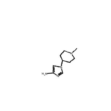 CN1CCC(n2cnc(N)c2)CC1